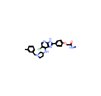 CNC(=O)COc1ccc(-c2nc3c(N[C@H]4CCN(Cc5cccc(C)c5)C4)c(Cl)cnc3[nH]2)cc1